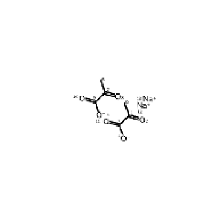 CC(=O)C(=O)[O-].CC(=O)C(=O)[O-].[Na+].[Na+]